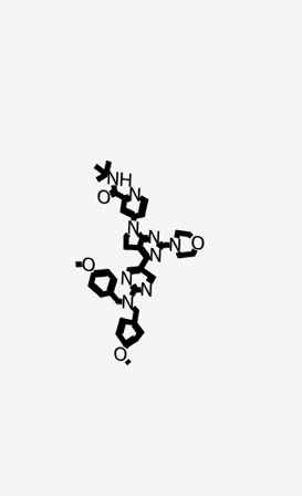 COc1ccc(CN(Cc2ccc(OC)cc2)c2ncc(-c3nc(N4CCOCC4)nc4c3CCN4c3ccnc(C(=O)NC(C)(C)C)c3)cn2)cc1